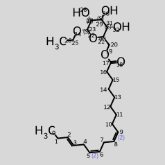 CCC=CC/C=C\C/C=C\CCCCCCCC(=O)OC[C@H]1O[C@H](OCC)[C@H](O)[C@@H](O)[C@@H]1O